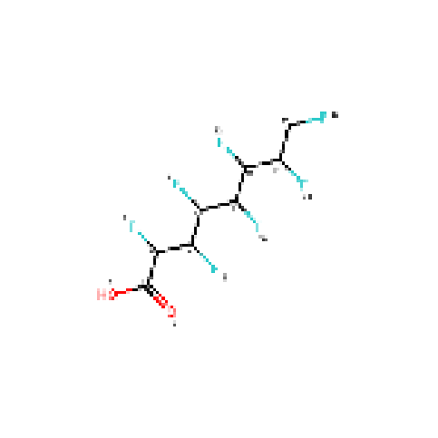 O=C(O)C(F)C(F)C(F)C(F)C(F)C(F)CF